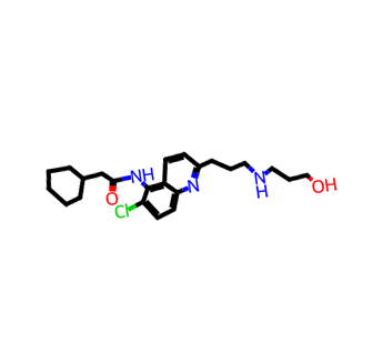 O=C(CC1CCCCC1)Nc1c(Cl)ccc2nc(CCCNCCCO)ccc12